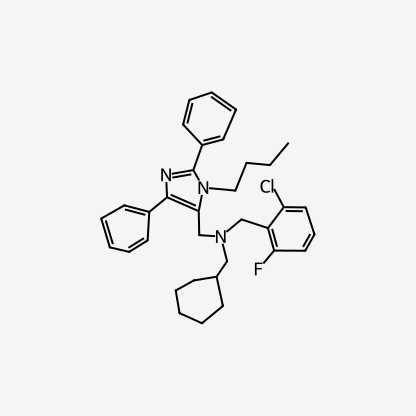 CCCCn1c(-c2ccccc2)nc(-c2ccccc2)c1CN(Cc1c(F)cccc1Cl)CC1CCCCC1